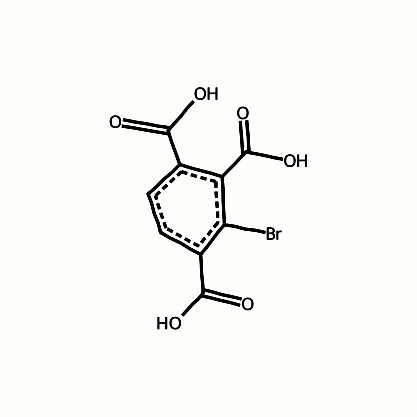 O=C(O)c1ccc(C(=O)O)c(C(=O)O)c1Br